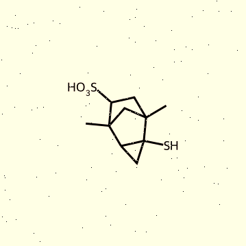 CC12CC(C)(CC1S(=O)(=O)O)C1(S)CC21